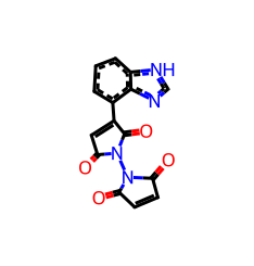 O=C1C=CC(=O)N1N1C(=O)C=C(c2cccc3[nH]cnc23)C1=O